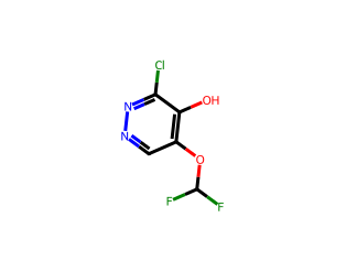 Oc1c(OC(F)F)cnnc1Cl